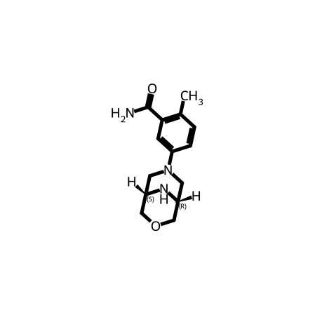 Cc1ccc(N2C[C@H]3COC[C@@H](C2)N3)cc1C(N)=O